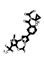 CC(C)C(=O)N(C(=O)c1cc(-c2cnn(-c3c(OC(F)F)c(C(F)(F)C(F)(F)F)nn3C)c2)ccc1Cl)C1(C#N)CC1